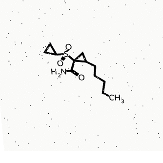 CCCCCC1CC1(C(N)=O)S(=O)(=O)C1CC1